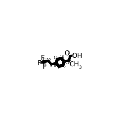 CC(C(=O)O)c1ccc(CCC(F)(F)F)cc1